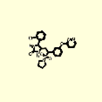 O=C1NC(CC(c2cccc(Oc3cccnn3)c2)S(=O)(=O)N2CCCC2)C(c2ccccc2Cl)N1